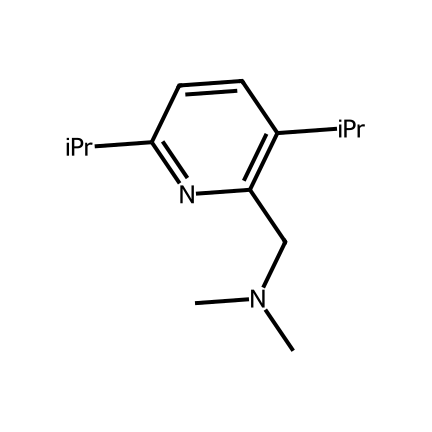 CC(C)c1ccc(C(C)C)c(CN(C)C)n1